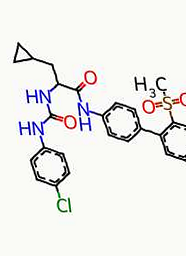 CS(=O)(=O)c1ccccc1-c1ccc(NC(=O)C(CC2CC2)NC(=O)Nc2ccc(Cl)cc2)cc1